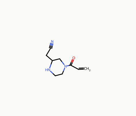 C=CC(=O)N1CCNC(CC#N)C1